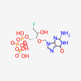 Nc1nc2c(ncn2CO[C@H](COP(=O)(O)OP(=O)(O)OP(=O)(O)O)C(O)CF)c(=O)[nH]1